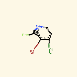 Fc1nccc(Cl)c1Br